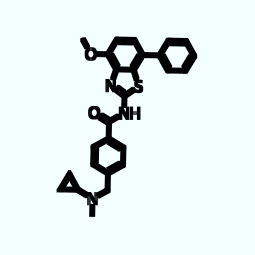 COc1ccc(-c2ccccc2)c2sc(NC(=O)c3ccc(CN(C)C4CC4)cc3)nc12